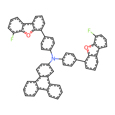 Fc1cccc2c1oc1c(-c3ccc(N(c4ccc(-c5cccc6c5oc5c(F)cccc56)cc4)c4ccc5c6ccccc6c6ccccc6c5c4)cc3)cccc12